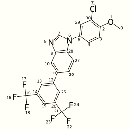 COc1ccc(-n2cnc3cc(-c4cc(C(F)(F)F)cc(C(F)(F)F)c4)ccc32)cc1Cl